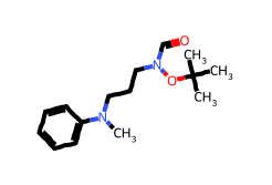 CN(CCCN(C=O)OC(C)(C)C)c1ccccc1